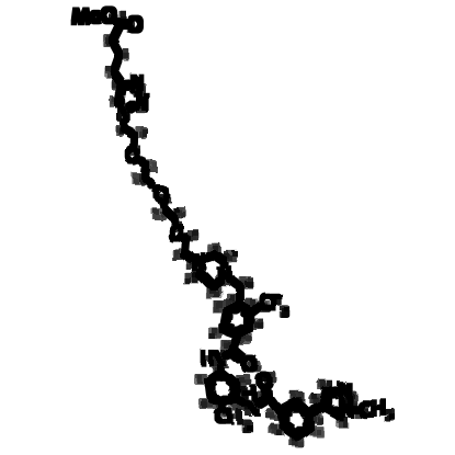 COC(=O)CCCc1cn(CCOCCOCCOCCN2CCN(Cc3ccc(C(=O)Nc4ccc(C)c(NC(=O)c5cccc(-c6cnn(C)c6)c5)c4)cc3C(F)(F)F)CC2)nn1